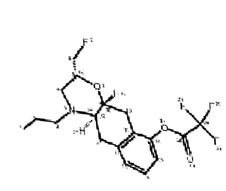 CCCN1C[C@H](CF)O[C@@H]2Cc3c(cccc3OC(=O)C(F)(F)F)C[C@H]21